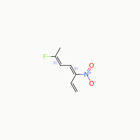 C=C/C(=C\C=C(/C)F)[N+](=O)[O-]